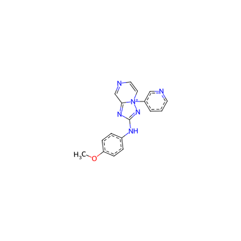 COc1ccc(NC2=N[N+]3(c4cccnc4)C=CN=CC3=N2)cc1